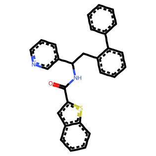 O=C(NC(Cc1ccccc1-c1ccccc1)c1cccnc1)c1cc2ccccc2s1